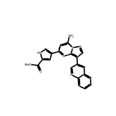 COC(=O)c1cc(-c2cc(N)n3ncc(-c4cnc5ccccc5c4)c3n2)c[nH]1